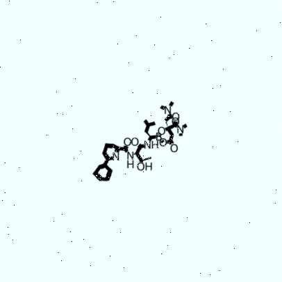 CC(C)C[C@H](NC(=O)[C@@H](NC(=O)c1cccc(-c2ccccc2)n1)[C@@H](C)O)B1OC(=O)C[C@](CC(=O)N(C)C)(C(=O)N(C)C)O1